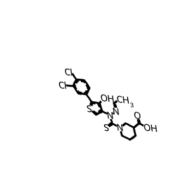 CC=NN(C(=S)N1CCCC(C(=O)O)C1)c1csc(-c2ccc(Cl)c(Cl)c2)c1O